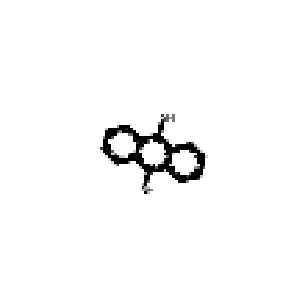 Sc1c2ccccc2c(S)c2ccccc12